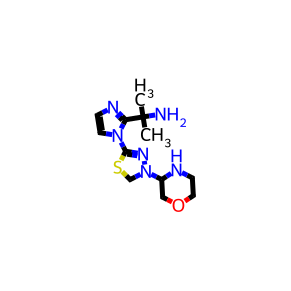 CC(C)(N)c1nccn1C1=NN(C2COCCN2)CS1